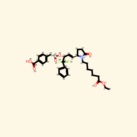 CCOC(=O)CCCCCCN1C(=O)CC[C@@H]1/C=C/[C@@H](O[14C](=O)Cc1ccc(C(=O)O)cc1)C(F)(F)c1ccccc1